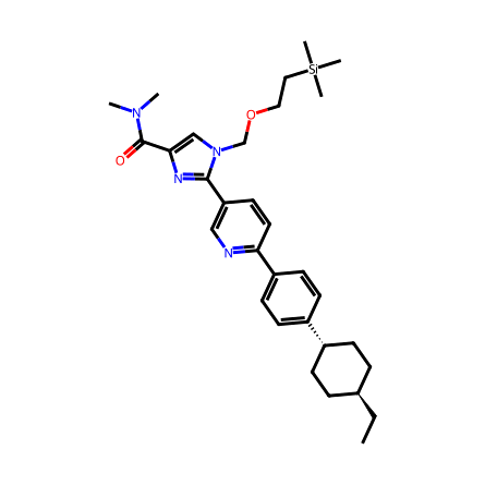 CC[C@H]1CC[C@H](c2ccc(-c3ccc(-c4nc(C(=O)N(C)C)cn4COCC[Si](C)(C)C)cn3)cc2)CC1